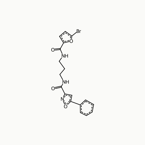 O=C(NCCCNC(=O)c1ccc(Br)o1)c1cc(-c2ccccc2)on1